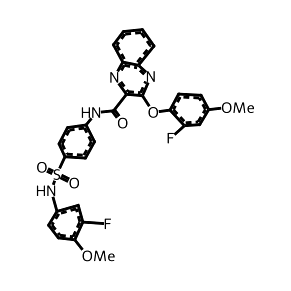 COc1ccc(Oc2nc3ccccc3nc2C(=O)Nc2ccc(S(=O)(=O)Nc3ccc(OC)c(F)c3)cc2)c(F)c1